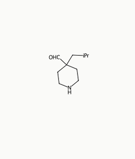 CC(C)CC1(C=O)CCNCC1